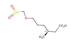 C[C@@H](CCCOC[SH](=O)=O)CC(=O)O